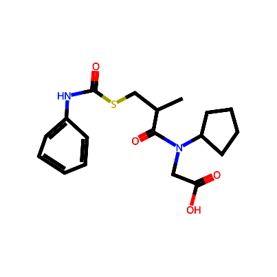 CC(CSC(=O)Nc1ccccc1)C(=O)N(CC(=O)O)C1CCCC1